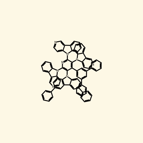 c1ccc(-c2cc(-c3ccccc3)cc(-c3c(-n4c5ccccc5c5cnccc54)c(-n4c5ccccc5c5cnccc54)nc(-n4c5ccccc5c5cnccc54)c3-n3c4ccc(-c5ccccc5)cc4c4cc(-c5ccccc5)ccc43)c2)cc1